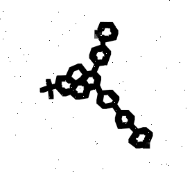 CC(C)(C)c1cc2c3c(ccc4c(C5=CCC(c6ccc(-c7ccncc7)cc6)C=C5)cc(-c5ccc(-c6ccccn6)cc5)c(c43)CC2)c1